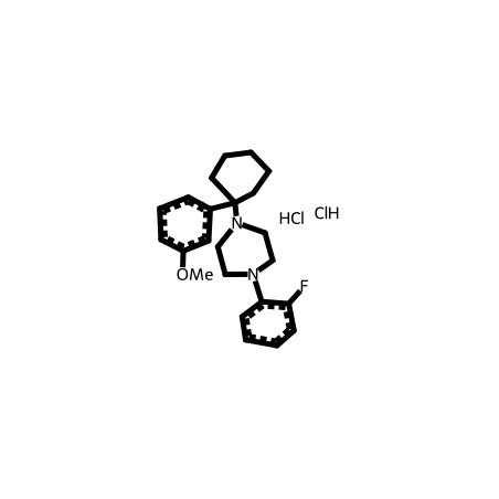 COc1cccc(C2(N3CCN(c4ccccc4F)CC3)CCCCC2)c1.Cl.Cl